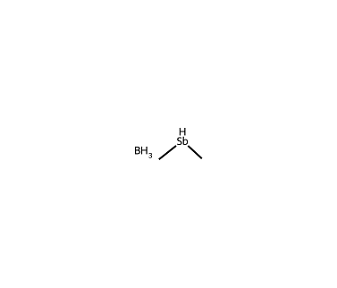 B.[CH3][SbH][CH3]